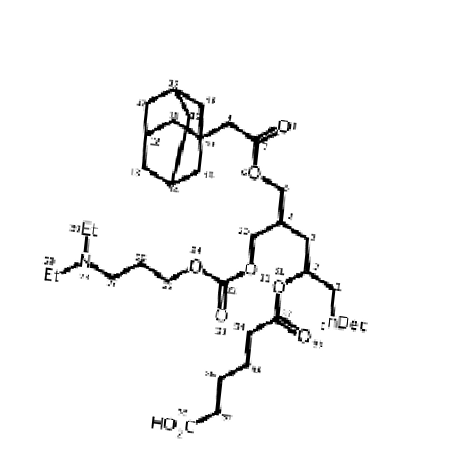 CCCCCCCCCCCC(CC(COC(=O)CC12CC3CC(CC(C3)C1)C2)COC(=O)OCCCN(CC)CC)OC(=O)CCCCC(=O)O